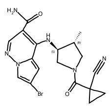 C[C@@H]1CN(C(=O)C2(C#N)CC2)C[C@H]1Nc1c(C(N)=O)cnn2cc(Br)cc12